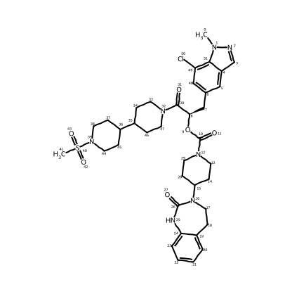 Cn1ncc2cc(C[C@@H](OC(=O)N3CCC(N4CCc5ccccc5NC4=O)CC3)C(=O)N3CCC(C4CCN(S(C)(=O)=O)CC4)CC3)cc(Cl)c21